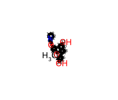 COC(c1ccc(OCCN2CCCCC2)cc1)c1c(-c2ccc(O)cc2)ccc2cc(O)ccc12